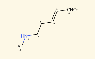 CC(=O)NCCC=C[C]=O